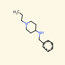 CCCN1CCC(NCc2ccccc2)CC1